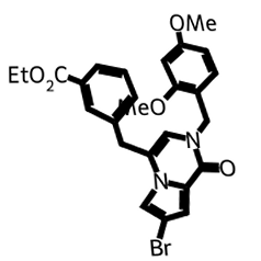 CCOC(=O)c1cccc(Cc2cn(Cc3ccc(OC)cc3OC)c(=O)c3cc(Br)cn23)c1